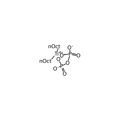 CCCCCCC[CH2][Ti+4][CH2]CCCCCCC.O=P([O-])([O-])OP(=O)([O-])[O-]